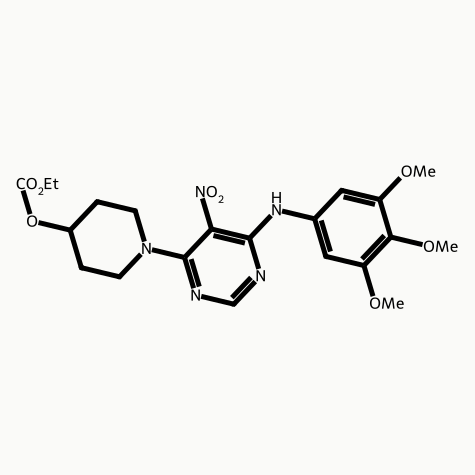 CCOC(=O)OC1CCN(c2ncnc(Nc3cc(OC)c(OC)c(OC)c3)c2[N+](=O)[O-])CC1